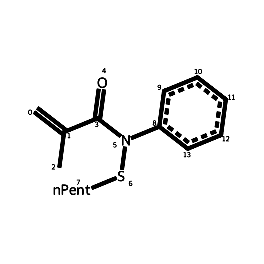 C=C(C)C(=O)N(SCCCCC)c1ccccc1